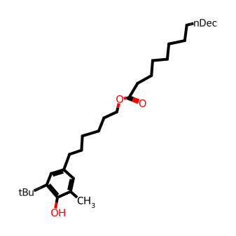 CCCCCCCCCCCCCCCCCC(=O)OCCCCCCc1cc(C)c(O)c(C(C)(C)C)c1